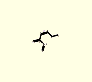 C=NC(=C)/C=C\CC